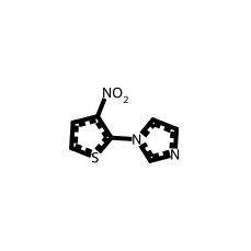 O=[N+]([O-])c1ccsc1-n1ccnc1